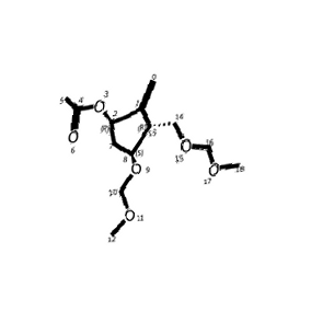 C=C1[C@H](OC(C)=O)C[C@H](OCOC)[C@H]1COCOC